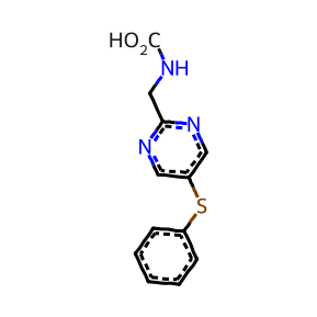 O=C(O)NCc1ncc(Sc2ccccc2)cn1